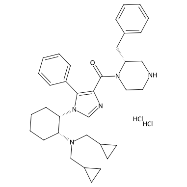 Cl.Cl.O=C(c1ncn([C@H]2CCCC[C@H]2N(CC2CC2)CC2CC2)c1-c1ccccc1)N1CCNC[C@H]1Cc1ccccc1